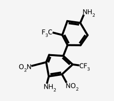 Nc1ccc(-c2cc([N+](=O)[O-])c(N)c([N+](=O)[O-])c2C(F)(F)F)c(C(F)(F)F)c1